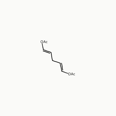 CC(=O)OC=CCC=COC(C)=O